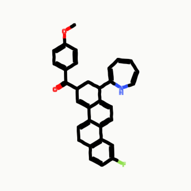 COc1ccc(C(=O)C2C=c3c(ccc4c3=CCc3ccc(F)cc3-4)C(C3=CC=CC=CN3)C2)cc1